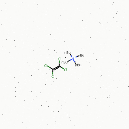 CCCC[N+](CCCC)(CCCC)CCCC.ClC(Cl)=C(Cl)Cl